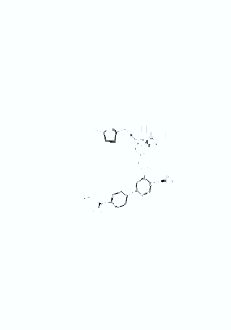 CCOC(=O)c1ccc(-c2ccc(C#N)c(OCC(CNC(C)(C)Cc3ccc(Cl)s3)OP(=O)(O)O)c2)cc1